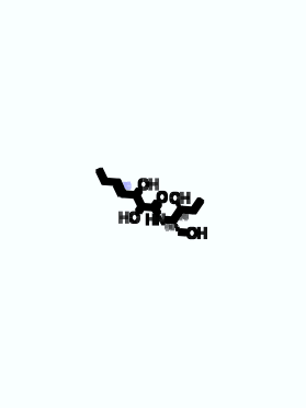 CC/C=C/C(O)C(O)C(=O)N[C@@H](CO)[C@H](O)CC